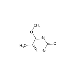 COC1=NC(=O)[N]C=C1C